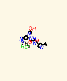 Cl.Cn1ncc2cc(N3CCC(O)C3)c(NC(=O)c3coc(-c4ccnc(C5CC5)c4)n3)cc21